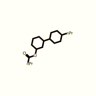 CCCC(=O)OC1CCCC(C2CCC(CCC)CC2)C1